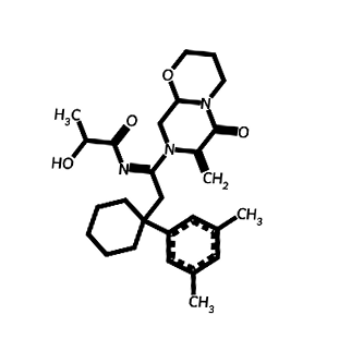 C=C1C(=O)N2CCCOC2CN1/C(CC1(c2cc(C)cc(C)c2)CCCCC1)=N\C(=O)C(C)O